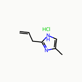 C=CCc1nc(C)c[nH]1.Cl